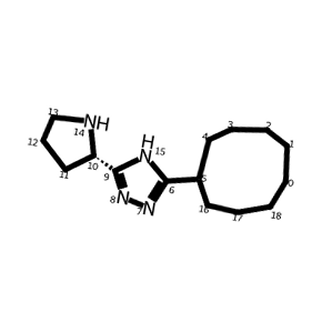 C1CCCCC(c2nnc([C@@H]3CCCN3)[nH]2)CCC1